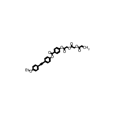 C=CC(=O)OCC(=O)OCC(=O)Oc1ccc(C(=O)Oc2ccc(C#Cc3ccc(OCC)cc3)cc2)cc1